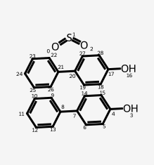 O=S=O.Oc1ccc(-c2ccccc2)cc1.Oc1ccc(-c2ccccc2)cc1